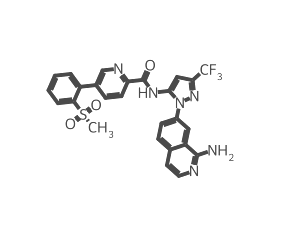 CS(=O)(=O)c1ccccc1-c1ccc(C(=O)Nc2cc(C(F)(F)F)nn2-c2ccc3ccnc(N)c3c2)nc1